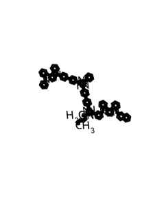 C=C(/C=C\C=C/C)c1nc(-c2ccc(-c3ccc(-c4nc(-c5ccccc5)nc(-c5ccc(-c6ccc(-n7c8ccccc8c8c9c%10ccccc%10n(-c%10ccccc%10)c9ccc87)cc6)cc5)n4)cc3)cc2)nc(-c2cccc(-n3c4ccccc4c4c5c6ccccc6n(-c6ccc7ccccc7c6)c5ccc43)c2)n1